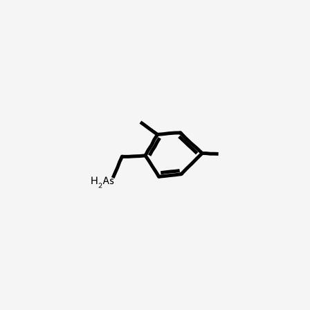 Cc1ccc(C[AsH2])c(C)c1